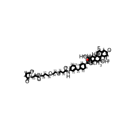 C[C@]12C=CC(=O)C=C1[C@@H](F)C[C@H]1C3C[C@H]4O[C@@H](c5ccc(Cc6cccc(NC(=O)CCOCCOCCCNC(=O)CCN7C(=O)C=CC7=O)c6)cc5)O[C@@]4(C(=O)CO)[C@@]3(C)C[C@H](O)[C@@]12F